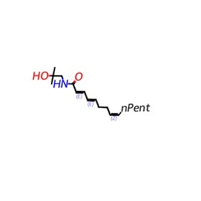 CCCCC/C=C\CC/C=C/C=C/C(=O)NCC(C)(C)O